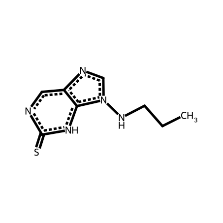 CCCNn1cnc2cnc(=S)[nH]c21